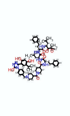 CC(C)C[C@H](NC(=O)[C@H](CCc1ccccc1)NC(=O)C1CCN(C(=O)C2CCN(Cc3ccc(-n4c(O)nnc4-c4cc(C(C)C)c(O)cc4O)cc3)CC2)CC1)C(=O)N[C@@H](CCc1ccccc1)C(=O)N[C@@H](CC(C)C)C(=O)[C@@]1(C)CO1